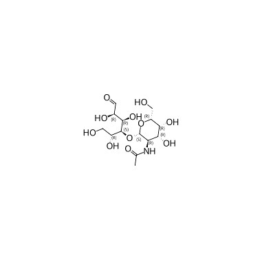 CC(=O)N[C@H]1[C@H](O[C@H]([C@H](O)[C@@H](O)C=O)[C@H](O)CO)O[C@H](CO)[C@H](O)[C@@H]1O